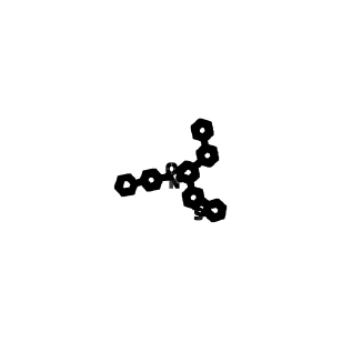 C1=CCC(c2ccc(-c3nc4c(-c5ccc6sc7ccccc7c6c5)cc(-c5cccc(-c6ccccc6)c5)cc4o3)cc2)C=C1